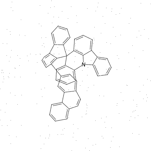 c1ccc2c(c1)-c1cccc(-c3ccc4ccc5ccccc5c4c3)c1C21c2ccccc2-n2c3ccccc3c3cccc1c32